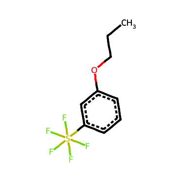 CCCOc1cccc(S(F)(F)(F)(F)F)c1